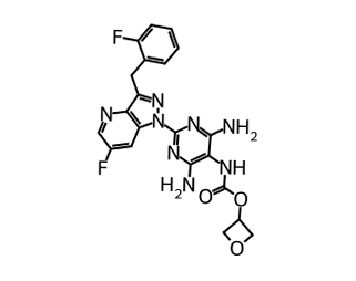 Nc1nc(-n2nc(Cc3ccccc3F)c3ncc(F)cc32)nc(N)c1NC(=O)OC1COC1